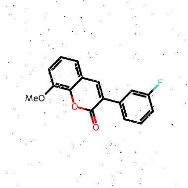 COc1cccc2cc(-c3cccc(F)c3)c(=O)oc12